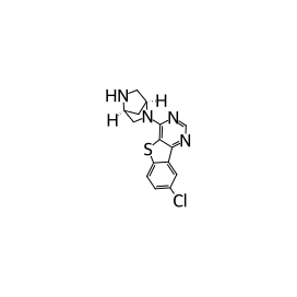 Clc1ccc2sc3c(N4C[C@@H]5C[C@H]4CN5)ncnc3c2c1